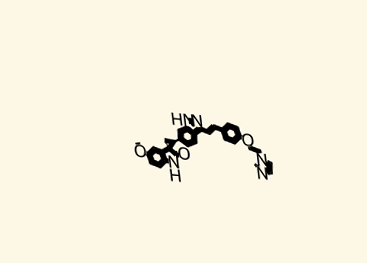 COc1ccc2c(c1)[C@]1(C[C@H]1c1ccc3c(/C=C/c4ccc(OCCn5ccnc5)cc4)n[nH]c3c1)C(=O)N2